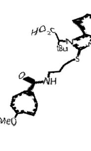 COc1ccc(C(=O)NCCCSc2nc3ccccc3n2C(C(=O)O)C(C)(C)C)cc1